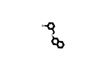 Brc1cccc(CSc2ccc3ccccc3c2)c1